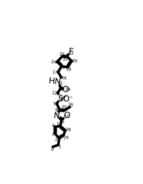 CCc1ccc(-c2nc(C[S+]([O-])CC(=O)NCCc3ccc(F)cc3)c(C)o2)cc1